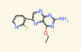 CCOc1nc(N)nc2ncc(-c3cccnc3F)nc12